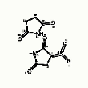 O=C1CC(=S(=O)=O)C(=O)N1.O=C1CCC(=O)N1